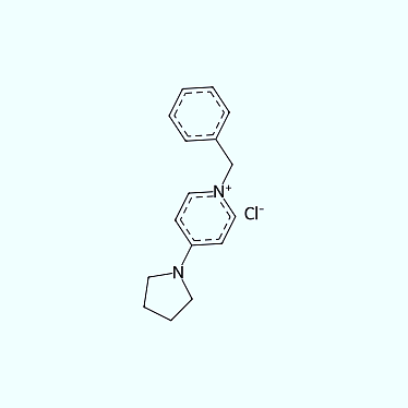 [Cl-].c1ccc(C[n+]2ccc(N3CCCC3)cc2)cc1